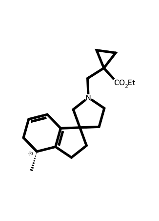 CCOC(=O)C1(CN2CCC3(CCC4=C3C=CC[C@H]4C)C2)CC1